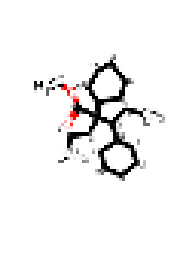 CCCC(C(=O)O[SiH3])(C1CCCCC1)C(CC)C1CCCCC1